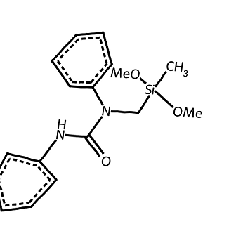 CO[Si](C)(CN(C(=O)Nc1ccccc1)c1ccccc1)OC